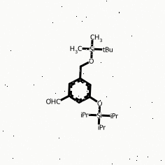 CC(C)[Si](Oc1cc(C=O)cc(CO[Si](C)(C)C(C)(C)C)c1)(C(C)C)C(C)C